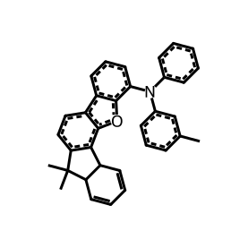 Cc1cccc(N(c2ccccc2)c2cccc3c2oc2c4c(ccc23)C(C)(C)C2C=CC=CC42)c1